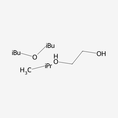 CC(C)C.CCC(C)OC(C)CC.OCCO